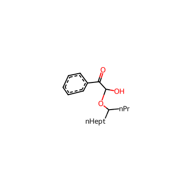 CCCCCCCC(CCC)OC(O)C(=O)c1ccccc1